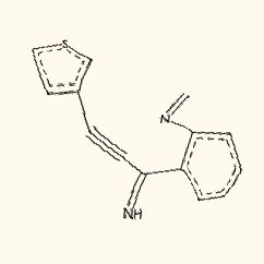 C=Nc1ccccc1C(=N)C#Cc1ccsc1